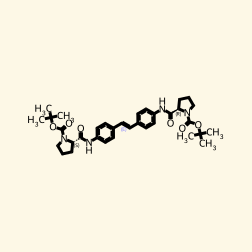 CC(C)(C)OC(=O)N1CCC[C@@H]1C(=O)Nc1ccc(/C=C/c2ccc(NC(=O)[C@@H]3CCCN3C(=O)OC(C)(C)C)cc2)cc1